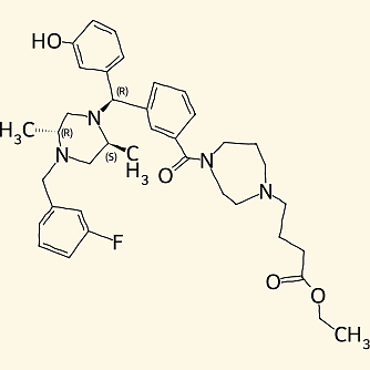 CCOC(=O)CCCN1CCCN(C(=O)c2cccc([C@H](c3cccc(O)c3)N3C[C@@H](C)N(Cc4cccc(F)c4)C[C@@H]3C)c2)CC1